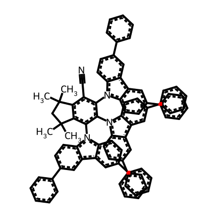 CC1(C)CC(C)(C)c2c(-n3c4ccc(-c5ccccc5)cc4c4cc(-c5ccccc5)ccc43)c(-n3c4ccc(-c5ccccc5)cc4c4cc(-c5ccccc5)ccc43)c(-n3c4ccc(-c5ccccc5)cc4c4cc(-c5ccccc5)ccc43)c(C#N)c21